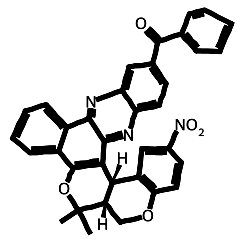 CC1(C)Oc2c(c3nc4ccc(C(=O)c5ccccc5)cc4nc3c3ccccc23)[C@@H]2c3cc([N+](=O)[O-])ccc3OC[C@@H]21